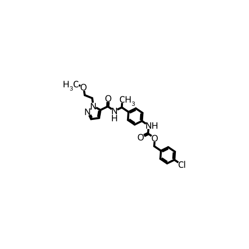 COCCn1nccc1C(=O)NC(C)c1ccc(NC(=O)OCc2ccc(Cl)cc2)cc1